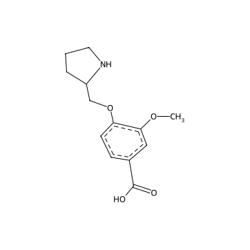 COc1cc(C(=O)O)ccc1OCC1CCCN1